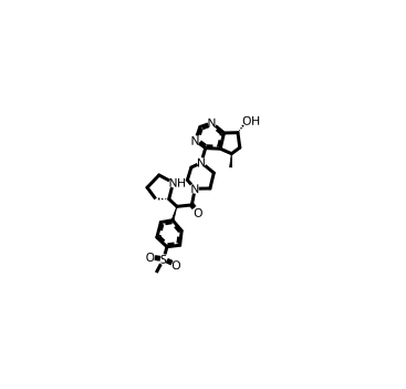 C[C@@H]1C[C@@H](O)c2ncnc(N3CCN(C(=O)[C@@H](c4ccc(S(C)(=O)=O)cc4)[C@@H]4CCCN4)CC3)c21